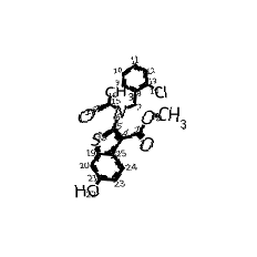 COC(=O)c1c(N(Cc2ccccc2Cl)C(C)=O)sc2cc(O)ccc12